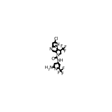 Nc1cc(NC(=O)N2CC(C(F)(F)F)c3c2cnc2cc(Cl)nn32)cc(C(F)(F)F)n1